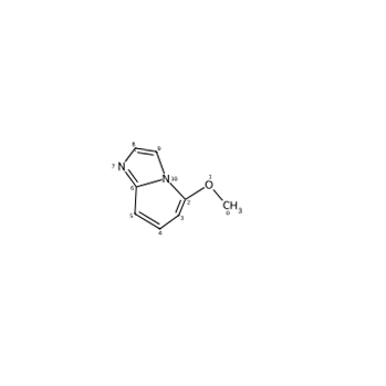 COc1cccc2n[c]cn12